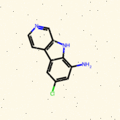 Nc1cc(Cl)cc2c1[nH]c1cnccc12